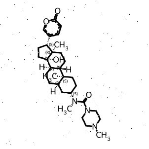 CN1CCN(C(=O)N(C)[C@H]2CC[C@@]3(C)[C@H](CC[C@@H]4[C@@H]3CC[C@]3(C)[C@@H](c5ccc(=O)oc5)CC[C@]43O)C2)CC1